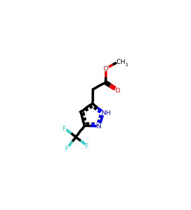 COC(=O)Cc1[c]c(C(F)(F)F)n[nH]1